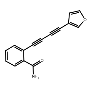 NC(=O)c1ccccc1C#CC#Cc1ccoc1